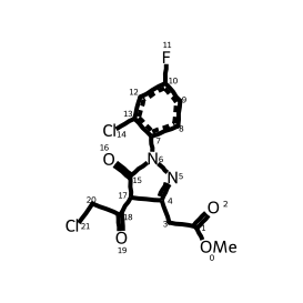 COC(=O)CC1=NN(c2ccc(F)cc2Cl)C(=O)C1C(=O)CCl